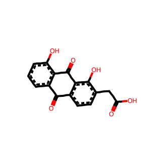 O=C(O)Cc1ccc2c(c1O)C(=O)c1c(O)cccc1C2=O